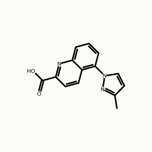 Cc1ccn(-c2cccc3nc(C(=O)O)ccc23)n1